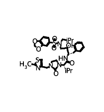 Cc1nc(CN2CCN([C@H](C(=O)N[C@@H](Cc3ccccc3)[C@@H](O)CN(CC(C)C)S(=O)(=O)c3ccc4c(c3)OCO4)C(C)C)C2=O)cs1